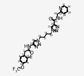 O=C(Cc1ccc(OC(F)(F)F)cc1F)Nc1cn(CCCCn2cc(C(=O)NCc3ccccn3)nn2)nn1